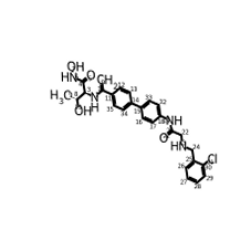 C=C(N[C@H](C(=O)NO)[C@@H](C)O)c1ccc(-c2ccc(NC(=O)CNCc3ccccc3Cl)cc2)cc1